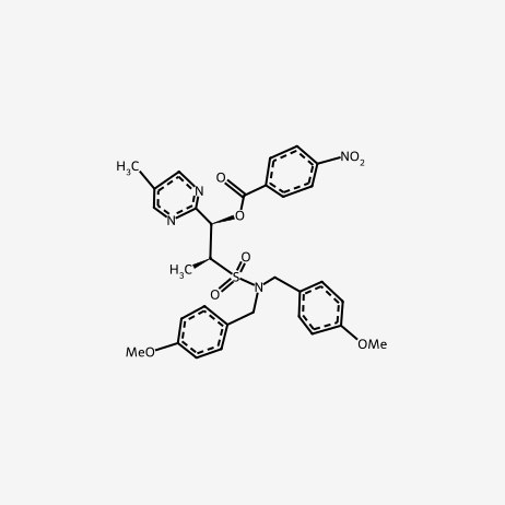 COc1ccc(CN(Cc2ccc(OC)cc2)S(=O)(=O)[C@@H](C)[C@H](OC(=O)c2ccc([N+](=O)[O-])cc2)c2ncc(C)cn2)cc1